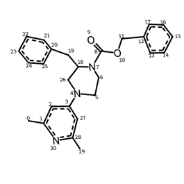 Cc1cc(N2CCN(C(=O)OCc3ccccc3)C(Cc3ccccc3)C2)cc(C)n1